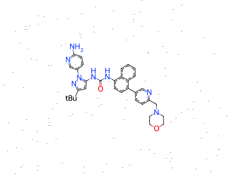 CC(C)(C)c1cc(NC(=O)Nc2ccc(-c3ccc(CN4CCOCC4)nc3)c3ccccc23)n(-c2ccc(N)nc2)n1